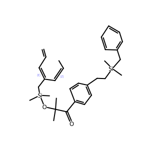 C=C/C=C(\C=C/C)C[Si](C)(C)OC(C)(C)C(=O)c1ccc(CC[Si](C)(C)Cc2ccccc2)cc1